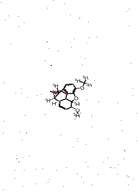 [2H]OC1C=C[C@@H]2[C@@]34CCN(C)[C@]2([2H])C([2H])([2H])c2ccc(OC([2H])([2H])[2H])c(c23)OC14[2H]